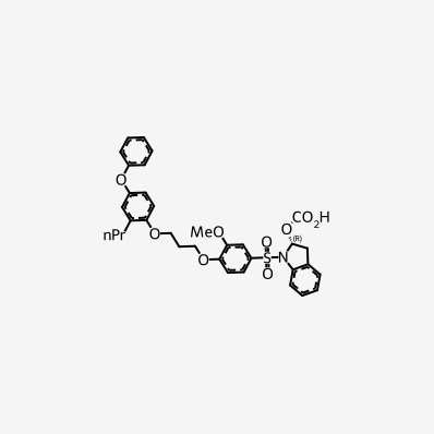 CCCc1cc(Oc2ccccc2)ccc1OCCCOc1ccc(S(=O)(=O)N2c3ccccc3C[C@H]2OC(=O)O)cc1OC